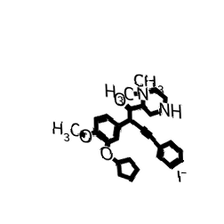 COc1ccc(C(C#Cc2ccccc2)C(=O)C2CNCC[N+]2(C)C)cc1OC1CCCC1.[I-]